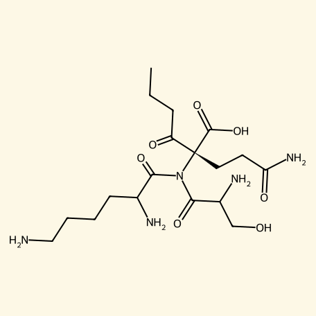 CCCC(=O)[C@](CCC(N)=O)(C(=O)O)N(C(=O)C(N)CO)C(=O)C(N)CCCCN